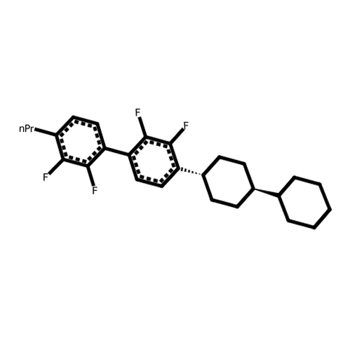 CCCc1ccc(-c2ccc([C@H]3CC[C@H](C4CCCCC4)CC3)c(F)c2F)c(F)c1F